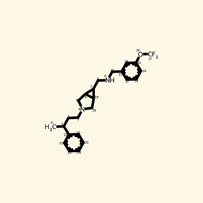 CC(CCN1CC2C(CNCc3cccc(OC(F)(F)F)c3)C2C1)c1ccccc1